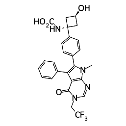 Cn1c(-c2ccc([C@]3(NC(=O)O)C[C@H](O)C3)cc2)c(-c2ccccc2)c2c(=O)n(CC(F)(F)F)cnc21